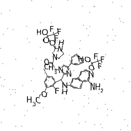 CCOc1cc(CC)cc(C(Nc2ccc3c(N)nccc3c2)c2nc(-c3ccccc3)cn2CC(=O)N2CCNC(=O)C2)c1F.O=C(O)C(F)(F)F.O=C(O)C(F)(F)F